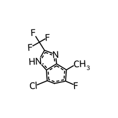 Cc1c(F)cc(Cl)c2[nH]c(C(F)(F)F)nc12